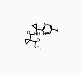 NC(=O)C1(C(=O)NC2(c3ncc(I)cn3)CC2)CC1